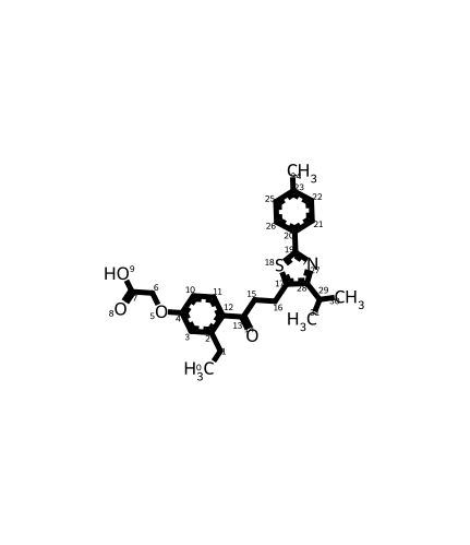 CCc1cc(OCC(=O)O)ccc1C(=O)CCc1sc(-c2ccc(C)cc2)nc1C(C)C